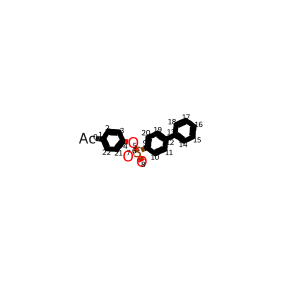 CC(=O)c1ccc(OS(=O)(=O)c2ccc(-c3ccccc3)cc2)cc1